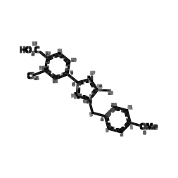 COc1ccc(Cn2nc(-c3ccc(C(=O)O)c(Cl)c3)nc2C)cc1